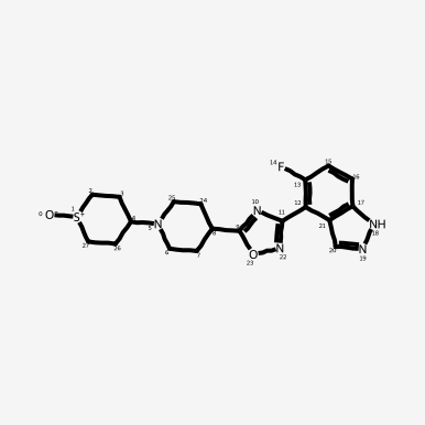 [O-][S+]1CCC(N2CCC(c3nc(-c4c(F)ccc5[nH]ncc45)no3)CC2)CC1